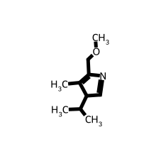 COCC1=C(C)C(C(C)C)C=N1